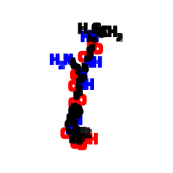 C=CC(=C)NCOC(=O)CCC(=O)NCCN(CCNC(=O)CCC(=O)Oc1ccc2nc3c(cc2c1)Cn1c-3cc2c(c1=O)COC(=O)[C@]2(O)CC)C(=O)CCCN